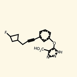 O=C(O)c1nn[nH]c1Oc1cccc(C#CCC2CC(F)C2)c1